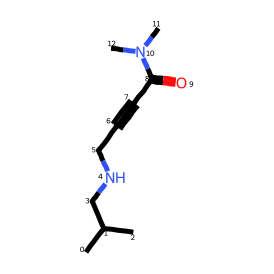 CC(C)CNCC#CC(=O)N(C)C